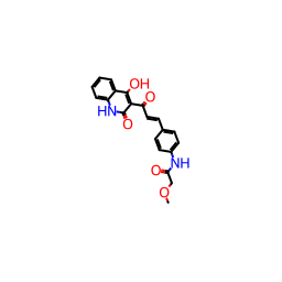 COCC(=O)Nc1ccc(C=CC(=O)c2c(O)c3ccccc3[nH]c2=O)cc1